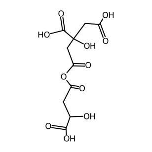 O=C(O)CC(O)(CC(=O)OC(=O)CC(O)C(=O)O)C(=O)O